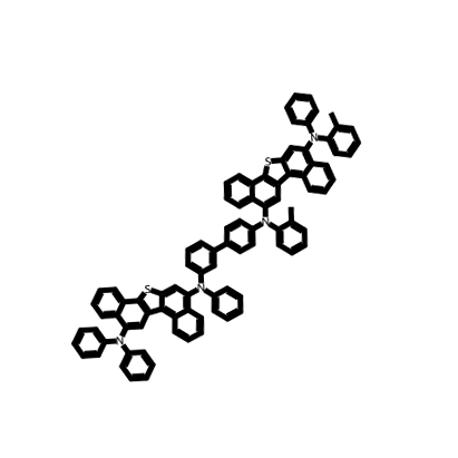 Cc1ccccc1N(c1ccc(-c2cccc(N(c3ccccc3)c3cc4sc5c6ccccc6c(N(c6ccccc6)c6ccccc6)cc5c4c4ccccc34)c2)cc1)c1cc2c(sc3cc(N(c4ccccc4)c4ccccc4C)c4ccccc4c32)c2ccccc12